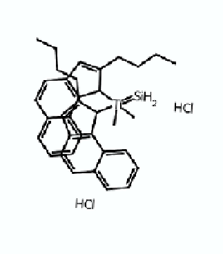 CCCCC1=Cc2ccc3ccccc3c2[CH]1[Ti]([CH3])([CH3])(=[SiH2])[CH]1C(CCCC)=Cc2ccc3ccccc3c21.Cl.Cl